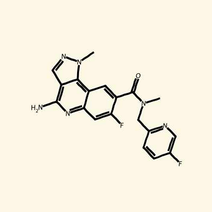 CN(Cc1ccc(F)cn1)C(=O)c1cc2c(cc1F)nc(N)c1cnn(C)c12